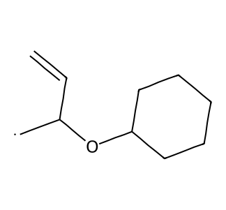 [CH2]C(C=C)OC1CCCCC1